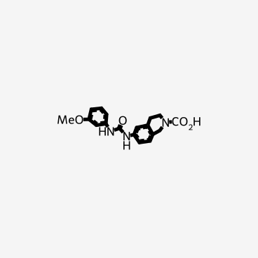 COc1cccc(NC(=O)Nc2ccc3c(c2)CCN(C(=O)O)C3)c1